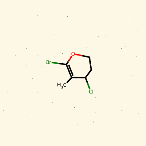 CC1=C(Br)OCCC1Cl